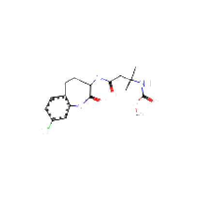 CC(C)(CC(=O)NC1CCc2ccc(Cl)cc2NC1=O)NC(=O)OC(C)(C)C